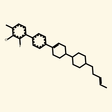 C/C=C/CCC1CCC(C2CC=C(c3ccc(-c4ccc(C)c(Cl)c4F)cc3)CC2)CC1